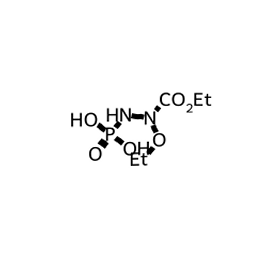 CCOC(=O)N(NP(=O)(O)O)OCC